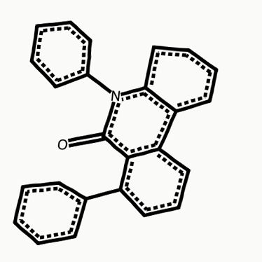 O=c1c2c(-c3ccccc3)cccc2c2ccccc2n1-c1ccccc1